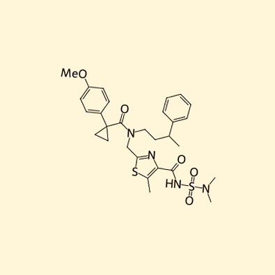 COc1ccc(C2(C(=O)N(CCC(C)c3ccccc3)Cc3nc(C(=O)NS(=O)(=O)N(C)C)c(C)s3)CC2)cc1